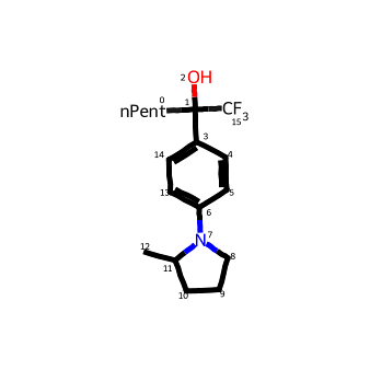 CCCCCC(O)(c1ccc(N2CCCC2C)cc1)C(F)(F)F